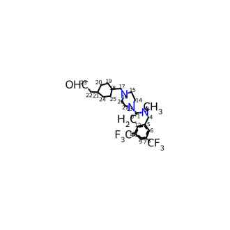 C=C(N(C)Cc1cc(C(F)(F)F)cc(C(F)(F)F)c1)N1CCN(CC2CCC(CC=O)CC2)CC1